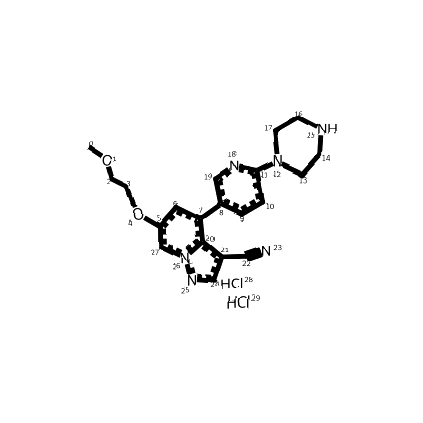 COCCOc1cc(-c2ccc(N3CCNCC3)nc2)c2c(C#N)cnn2c1.Cl.Cl